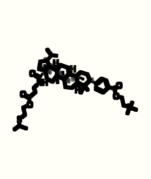 CC(C)SCCOC(=O)CCNC(=O)[C@]12CC[C@@H](C(C)C)[C@@H]1[C@H]1CC[C@@H]3[C@@]4(C)CC[C@H](c5ccc(C(=O)OCC[Si](C)(C)C)cc5)C(C)(C)[C@@H]4CC[C@@]3(C)[C@]1(C)CC2